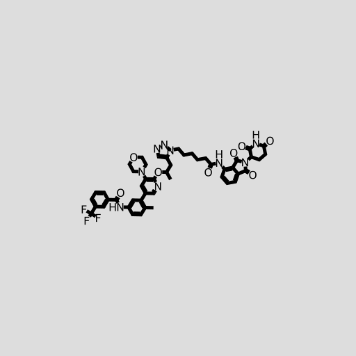 Cc1ccc(NC(=O)c2cccc(C(F)(F)F)c2)cc1-c1cnc(OC(C)Cc2cnnn2CCCCCC(=O)Nc2cccc3c2C(=O)N(C2CCC(=O)NC2=O)C3=O)c(N2CCOCC2)c1